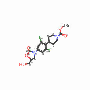 CC(C)(C)OC(=O)N1CCC(c2c(F)cc(N3CC(CO)OC3=O)cc2F)CC1